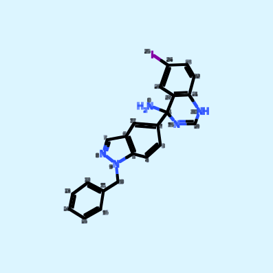 NC1(c2ccc3c(cnn3Cc3ccccc3)c2)N=CNc2ccc(I)cc21